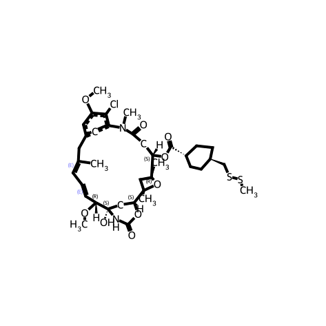 COc1cc2cc(c1Cl)N(C)C(=O)C[C@H](OC(=O)[C@H]1CC[C@H](CSSC)CC1)[C@@]1(C)CC(C)(O1)[C@@H]1C[C@@](O)(NC(=O)O1)[C@H](OC)/C=C/C=C(\C)C2